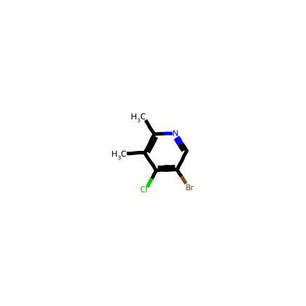 Cc1ncc(Br)c(Cl)c1C